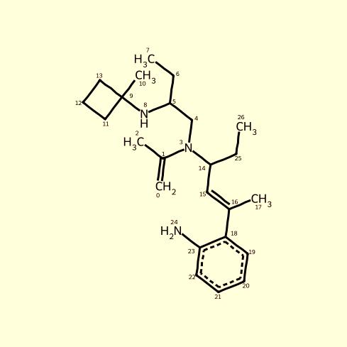 C=C(C)N(CC(CC)NC1(C)CCC1)C(/C=C(\C)c1ccccc1N)CC